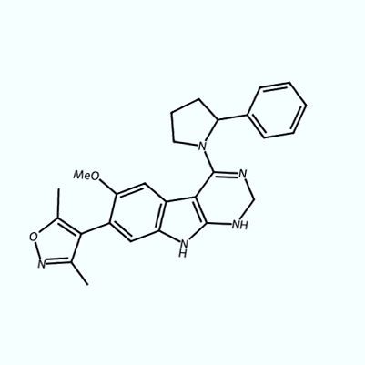 COc1cc2c3c([nH]c2cc1-c1c(C)noc1C)NCN=C3N1CCCC1c1ccccc1